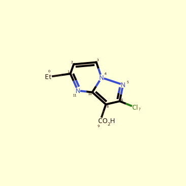 CCc1ccn2nc(Cl)c(C(=O)O)c2n1